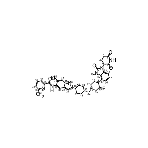 Cn1c(=O)n(C2CCC(=O)NC2=O)c2cccc(C3CCN(C[C@H]4CC[C@H](n5cc6cc(NC(=O)c7cccc(C(F)(F)F)n7)c(Cl)cc6n5)CC4)CC3F)c21